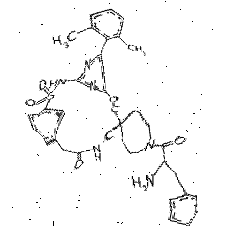 Cc1cccc(C)c1-c1cc2nc(n1)NS(=O)(=O)c1cccc(c1)C(=O)NCC1(CCN(C(=O)C(N)Cc3ccccc3)CC1)CO2